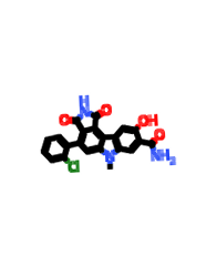 Cn1c2cc(C(N)=O)c(O)cc2c2c3c(c(-c4ccccc4Cl)cc21)C(=O)NC3=O